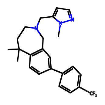 Cn1nccc1CN1CCC(C)(C)c2ccc(-c3ccc(C(F)(F)F)cc3)cc2C1